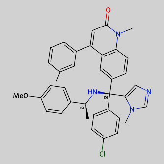 COc1ccc([C@H](C)N[C@@](c2ccc(Cl)cc2)(c2ccc3c(c2)c(-c2cccc(C)c2)cc(=O)n3C)c2cncn2C)cc1